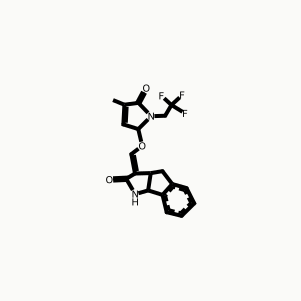 CC1=CC(OC=C2C(=O)NC3c4ccccc4CC23)N(CC(F)(F)F)C1=O